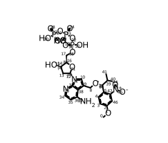 COc1ccc([C@H](OCc2cn([C@H]3C[C@@H](O)[C@@H](COP(=O)(O)OP(=O)(O)OP(=O)(O)O)O3)c3nccc(N)c23)C(C)C)c([N+](=O)[O-])c1